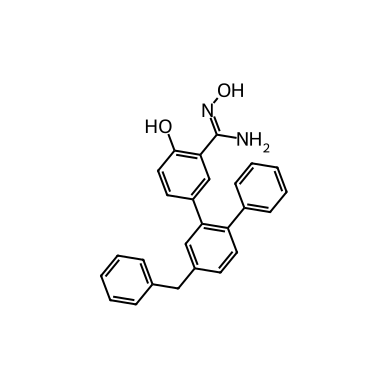 N/C(=N\O)c1cc(-c2cc(Cc3ccccc3)ccc2-c2ccccc2)ccc1O